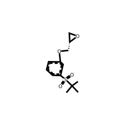 CC(C)(C)S(=O)(=O)c1cccc(OC[C@@H]2CO2)c1